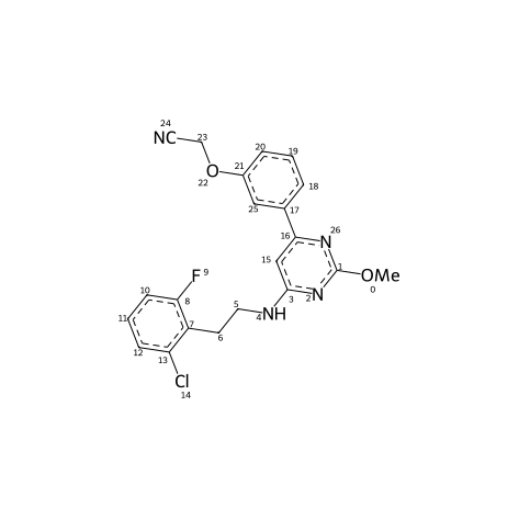 COc1nc(NCCc2c(F)cccc2Cl)cc(-c2cccc(OCC#N)c2)n1